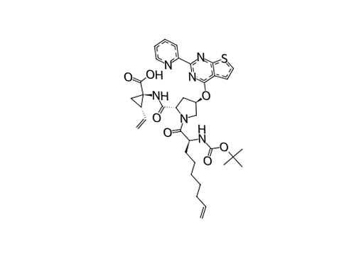 C=CCCCCC[C@H](NC(=O)OC(C)(C)C)C(=O)N1C[C@H](Oc2nc(-c3ccccn3)nc3sccc23)C[C@H]1C(=O)N[C@]1(C(=O)O)C[C@H]1C=C